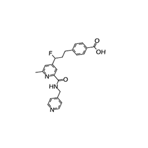 Cc1cc(C(F)CCc2ccc(C(=O)O)cc2)cc(C(=O)NCc2ccncc2)n1